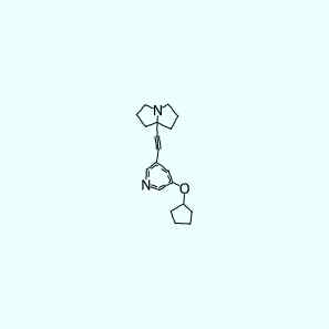 C(#CC12CCCN1CCC2)c1cncc(OC2CCCC2)c1